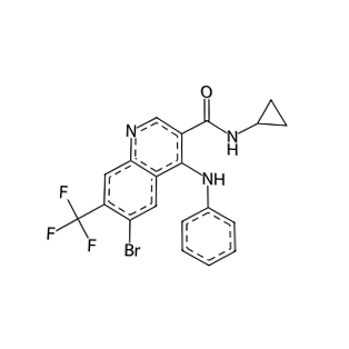 O=C(NC1CC1)c1cnc2cc(C(F)(F)F)c(Br)cc2c1Nc1ccccc1